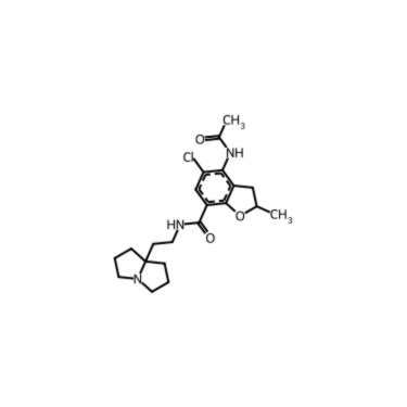 CC(=O)Nc1c(Cl)cc(C(=O)NCCC23CCCN2CCC3)c2c1CC(C)O2